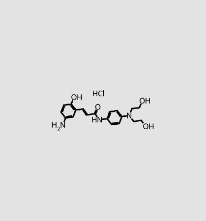 Cl.Nc1ccc(O)c(C=CC(=O)Nc2ccc(N(CCO)CCO)cc2)c1